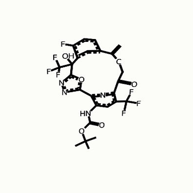 C=C1CCC(=O)c2nc(c(NC(=O)OC(C)(C)C)cc2C(F)(F)F)-c2nnc(o2)C(O)(C(F)(F)F)c2cc1ccc2F